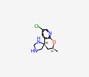 C[C@H]1C[C@]2(CNCN2)c2cc(Cl)cnc2O1